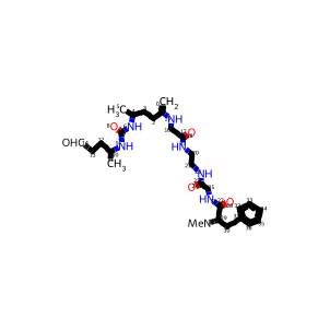 C=C(CCC(C)NC(=O)NC(C)CCC=O)NCC(=O)NCCNC(=O)CNC(=O)C(Cc1ccccc1)NC